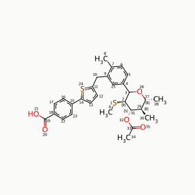 CS[C@H]1C(c2ccc(C)c(Cc3ccc(-c4ccc(C(=O)O)cc4)s3)c2)O[C@H](C)[C@@H](C)[C@@H]1OC(C)=O